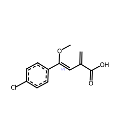 C=C(/C=C(\OC)c1ccc(Cl)cc1)C(=O)O